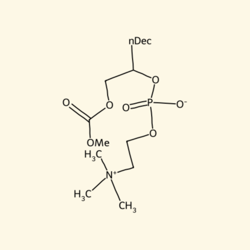 CCCCCCCCCCC(COC(=O)OC)OP(=O)([O-])OCC[N+](C)(C)C